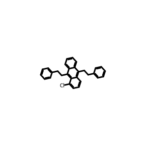 Clc1cccc2c(CCc3ccccc3)c3ccccc3c(CCc3ccccc3)c12